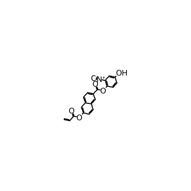 [C-]#[N+]c1cc(O)ccc1OC(=O)c1ccc2cc(OC(=O)C=C)ccc2c1